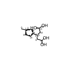 Cc1ccc(N(CC(O)O)CC(O)O)cc1